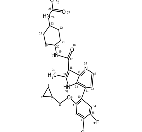 COc1cc(OCC2CC2)c(-c2ccnc3c(C(=O)NC4CCC(NC(C)=O)CC4)c(C)[nH]c23)cc1F